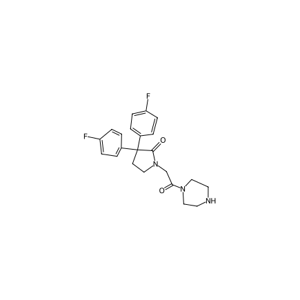 O=C(CN1CCC(c2ccc(F)cc2)(c2ccc(F)cc2)C1=O)N1CCNCC1